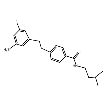 Bc1cc(F)cc(CCc2ccc(C(=O)NCCC(C)C)cc2)c1